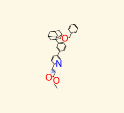 CCOC(=O)/C=C/c1ccc(-c2ccc(OCc3ccccc3)c(C34CC5CC(CC(C5)C3)C4)c2)cn1